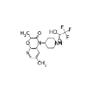 Cc1cnc2c(c1)N(C1CCNCC1)C(=O)C(C)O2.O=C(O)C(F)(F)F